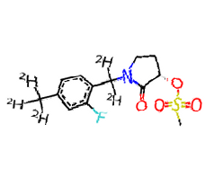 [2H]C([2H])([2H])c1ccc(C([2H])([2H])N2CC[C@H](OS(C)(=O)=O)C2=O)c(F)c1